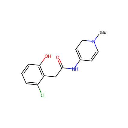 CC(C)(C)N1C=CC(NC(=O)Cc2c(O)cccc2Cl)=CC1